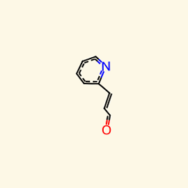 O=CC=Cc1ccccn1